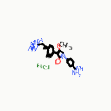 COC1=C(c2ccc(CCc3nnn[nH]3)cc2)C(=O)N(c2ccc(C(=N)N)cc2)C1.Cl